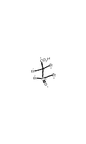 CCC(CC)(C(=O)O)P(=O)(CC)CC